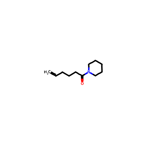 C=CCCCC(=O)N1CCCCC1